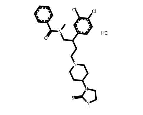 CN(CC(CCN1CCC(N2CCNC2=S)CC1)c1ccc(Cl)c(Cl)c1)C(=O)c1ccccc1.Cl